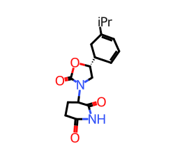 CC(C)C1=CC=CC([C@@H]2CN(C3CCC(=O)NC3=O)C(=O)O2)C1